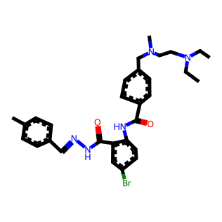 CCN(CC)CCN(C)Cc1ccc(C(=O)Nc2ccc(Br)cc2C(=O)N/N=C/c2ccc(C)cc2)cc1